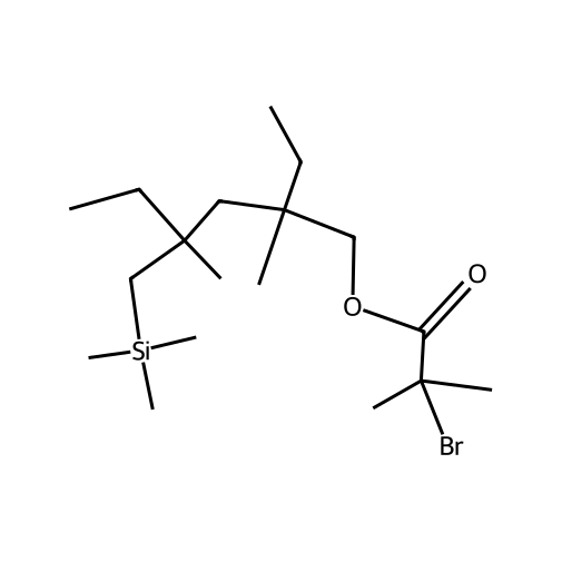 CCC(C)(COC(=O)C(C)(C)Br)CC(C)(CC)C[Si](C)(C)C